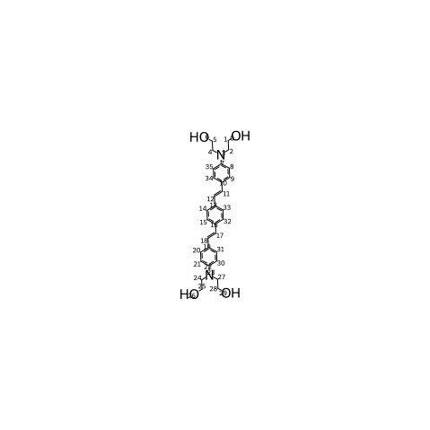 OCCN(CCO)c1ccc(C=Cc2ccc(C=Cc3ccc(N(CCO)CCO)cc3)cc2)cc1